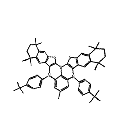 Cc1cc2c3c(c1)N(c1ccc(C(C)(C)C)cc1)c1c(sc4cc5c(cc14)C(C)(C)CCC5(C)C)B3c1sc3cc4c(cc3c1N2c1ccc(C(C)(C)C)cc1)C(C)(C)CCC4(C)C